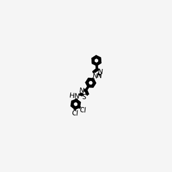 Clc1ccc(Nc2nc(-c3ccc(-n4cc(-c5ccccc5)nn4)cc3)cs2)cc1Cl